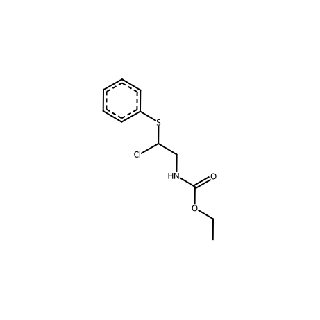 CCOC(=O)NCC(Cl)Sc1ccccc1